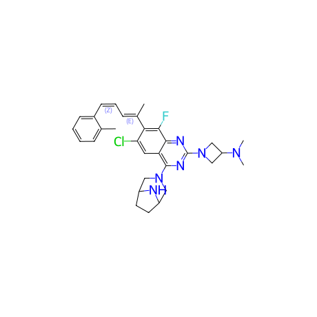 C/C(=C\C=C/c1ccccc1C)c1c(Cl)cc2c(N3CC4CCC(C3)N4)nc(N3CC(N(C)C)C3)nc2c1F